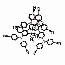 CC1(C2(C)c3cc(N(c4ccc(C#N)cc4)c4ccc(C#N)cc4)ccc3-c3c2cc(N(c2ccc(C#N)cc2)c2ccc(C#N)cc2)c2ccccc32)c2cc(N(c3ccc(C#N)cc3)c3ccc(C#N)cc3)ccc2-c2c1cc(N(c1ccc(C#N)cc1)c1ccc(C#N)cc1)c1ccccc21